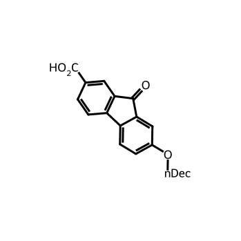 CCCCCCCCCCOc1ccc2c(c1)C(=O)c1cc(C(=O)O)ccc1-2